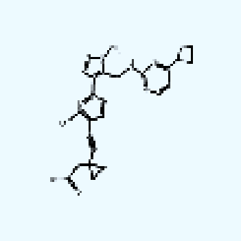 Cc1nc(-c2nnn(C)c2CNc2nccc(C3CCC3)n2)ccc1C#CC1(CC(=O)O)CC1